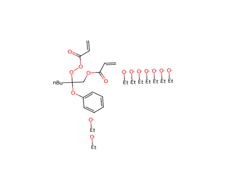 C=CC(=O)OCC(CCCC)(OOC(=O)C=C)Oc1ccccc1.[CH2]C[O].[CH2]C[O].[CH2]C[O].[CH2]C[O].[CH2]C[O].[CH2]C[O].[CH2]C[O].[CH2]C[O].[CH2]C[O]